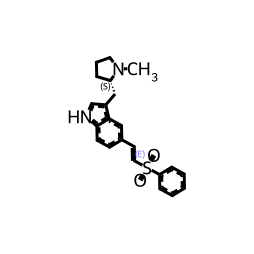 CN1CCC[C@H]1Cc1c[nH]c2ccc(/C=C/S(=O)(=O)c3ccccc3)cc12